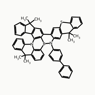 CC1(C)c2ccccc2Sc2cc3c(cc21)N(c1ccc(-c2ccccc2)cc1)B1c2cccc4c2N(c2ccccc2C4(C)C)c2c1c-3cc1c2-c2ccccc2C1(C)C